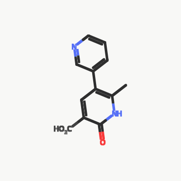 Cc1[nH]c(=O)c(C(=O)O)cc1-c1cccnc1